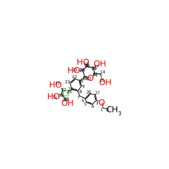 CCOc1ccc(Cc2cc([C@@H]3O[C@H](CO)[C@@H](O)[C@H](O)[C@H]3O)ccc2Cl)cc1.OCC(O)CO